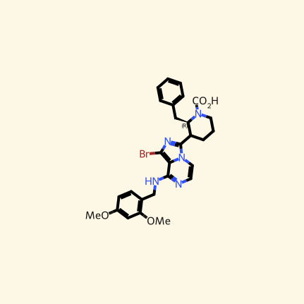 COc1ccc(CNc2nccn3c(C4CCCN(C(=O)O)[C@@H]4Cc4ccccc4)nc(Br)c23)c(OC)c1